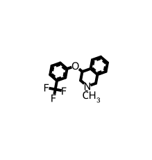 CN1Cc2ccccc2C(Oc2cccc(C(F)(F)F)c2)C1